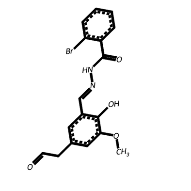 COc1cc(CC=O)cc(/C=N/NC(=O)c2ccccc2Br)c1O